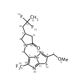 COCc1nn2c(CN3CC(CC(C)(F)F)CC3=O)c(C(F)(F)F)nc2s1